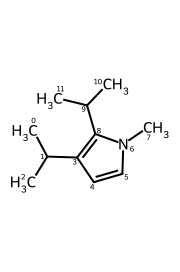 CC(C)c1ccn(C)c1C(C)C